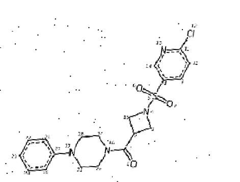 O=C(C1CN(S(=O)(=O)c2ccc(Cl)nc2)C1)N1CCN(c2ccccc2)CC1